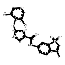 CC1=CS(=O)(=O)c2cc(NC(=O)c3cnc(Sc4c(Cl)cncc4Cl)s3)ccc21